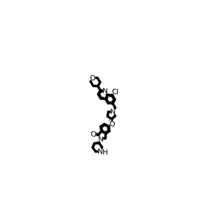 O=C1c2ccc(O[C@H]3CCN(Cc4cc(Cl)c5nc(C6CCOCC6)ccc5c4)C3)cc2CN1[C@H]1CCCNC1